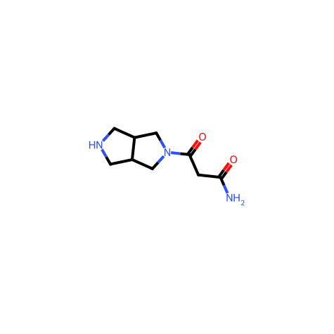 NC(=O)CC(=O)N1CC2CNCC2C1